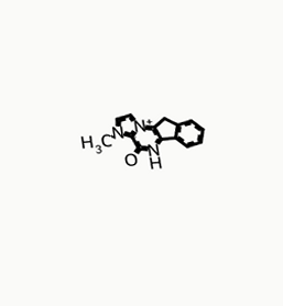 Cn1cc[n+]2c3c([nH]c(=O)c12)-c1ccccc1C3